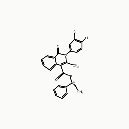 CC[C@H](NC(=O)c1c(C)n(-c2ccc(Cl)c(Cl)c2)c(=O)c2ccccc12)c1ccccc1